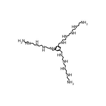 NCCNCCNCCNCCNCc1cc(CNCCNCCNCCNCCN)cc(CNCCNCCNCCNCCN)c1